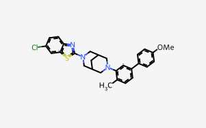 COc1ccc(-c2[c]c(N3CC4CC(CN(c5nc6ccc(Cl)cc6s5)C4)C3)c(C)cc2)cc1